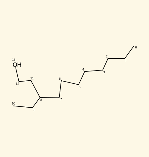 CCCCCCCCC(CC)CCO